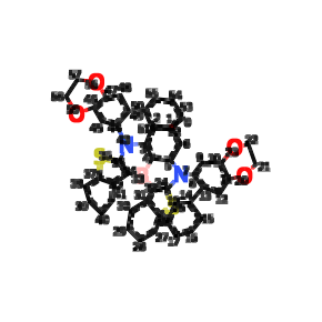 Cc1cc2c3c(c1)N(c1cc4c(cc1-c1ccccc1)OCCO4)c1sc4ccccc4c1B3c1c(sc3ccccc13)N2c1cc2c(cc1-c1ccccc1)OCCO2